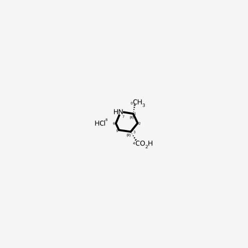 C[C@@H]1C[C@H](C(=O)O)CCN1.Cl